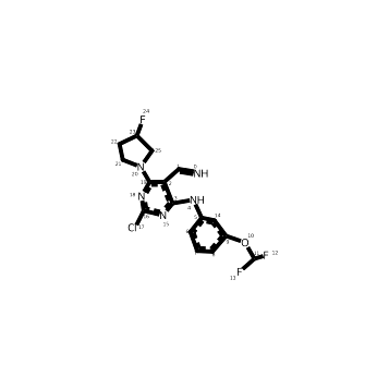 N=Cc1c(Nc2cccc(OC(F)F)c2)nc(Cl)nc1N1CCC(F)C1